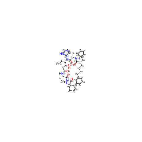 CC(C)C[C@H](NC(=O)C[C@H](O)[C@H](CC(C)C)NC(=O)[C@H](Cc1c[nH]cn1)NC(=O)C(CCCCc1ccccc1)Cc1ccccc1)C(=O)NC(=O)c1ccccc1